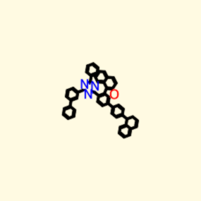 C1=Cc2ccccc2C(c2ccc(-c3ccc(-c4nc(-c5ccccc5)nc(-c5cccc(-c6ccccc6)c5)n4)c4c3oc3ccc5ccccc5c34)cc2)C1